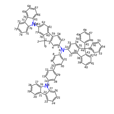 CC1(C)c2cc(N(c3ccc(-c4ccc(-n5c6ccccc6c6ccccc65)cc4)cc3)c3ccc4c(c3)-c3ccccc3C4(c3ccccc3)c3ccccc3)ccc2-c2ccc(-n3c4ccccc4c4ccccc43)cc21